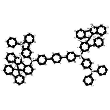 c1ccc(N(c2ccccc2)c2ccc(N(c3ccc(-c4ccc(-c5ccc(N(c6ccc7c(c6)c6ccccc6n7-c6ccccc6)c6cccc7c6-c6oc8ccccc8c6C76c7ccccc7-c7ccccc76)cc5)cc4)cc3)c3ccc4c(c3)-c3ccccc3[C@@]43c4ccccc4-c4oc5ccccc5c43)cc2)cc1